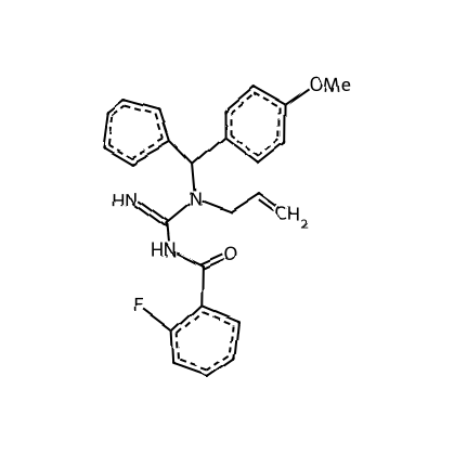 C=CCN(C(=N)NC(=O)c1ccccc1F)C(c1ccccc1)c1ccc(OC)cc1